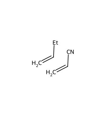 C=CC#N.[CH2]CC=C